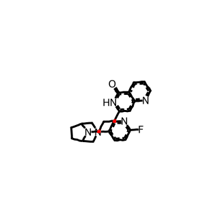 O=c1[nH]c(CCCN2C3CCC2CN(c2ccc(F)nc2)C3)cc2ncccc12